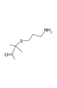 CC(=O)C(C)(C)SCCCN